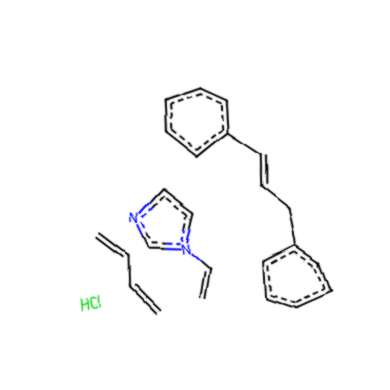 C(=Cc1ccccc1)Cc1ccccc1.C=CC=C.C=Cn1ccnc1.Cl